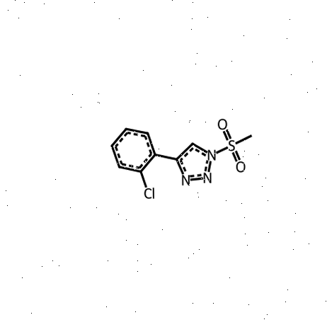 CS(=O)(=O)n1cc(-c2ccccc2Cl)nn1